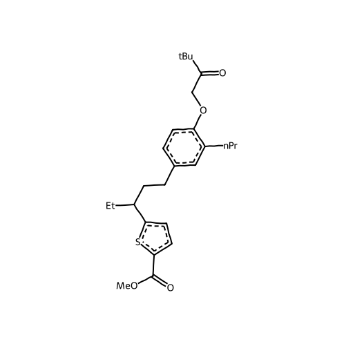 CCCc1cc(CCC(CC)c2ccc(C(=O)OC)s2)ccc1OCC(=O)C(C)(C)C